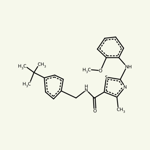 COc1ccccc1Nc1nc(C)c(C(=O)NCc2ccc(C(C)(C)C)cc2)s1